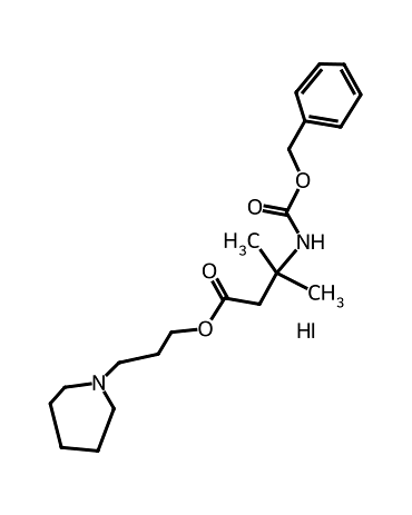 CC(C)(CC(=O)OCCCN1CCCCC1)NC(=O)OCc1ccccc1.I